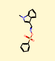 Cn1cc(/C=N/OS(=O)(=O)c2ccccc2)c2ccccc21